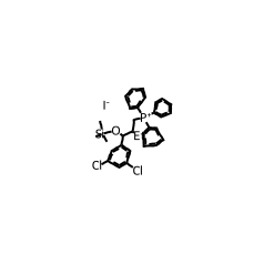 CCC(C[P+](c1ccccc1)(c1ccccc1)c1ccccc1)C(O[Si](C)(C)C)c1cc(Cl)cc(Cl)c1.[I-]